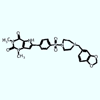 Cn1c(=O)c2[nH]c(-c3ccc(S(=O)(=O)N4CCN(Cc5ccc6c(c5)OCO6)CC4)cc3)cc2n(C)c1=O